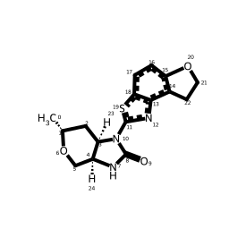 C[C@@H]1C[C@@H]2[C@H](CO1)NC(=O)N2c1nc2c3c(ccc2s1)OCC3